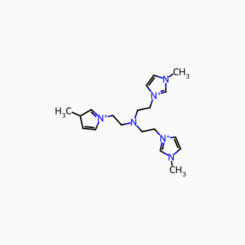 CC1C=C[N+](CCN(CC[n+]2ccn(C)c2)CC[n+]2ccn(C)c2)=C1